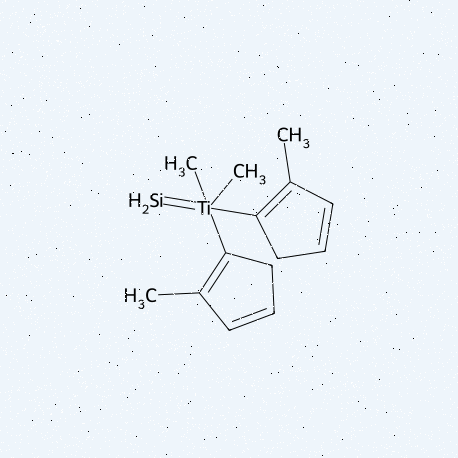 CC1=[C]([Ti]([CH3])([CH3])(=[SiH2])[C]2=C(C)C=CC2)CC=C1